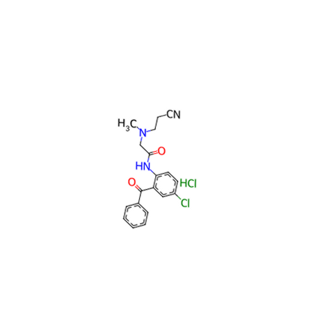 CN(CCC#N)CC(=O)Nc1ccc(Cl)cc1C(=O)c1ccccc1.Cl